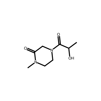 CC(O)C(=O)N1CCN(C)C(=O)C1